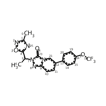 Cc1noc(C(C)n2nc3ccc(-c4ccc(OC(F)(F)F)cc4)cn3c2=O)n1